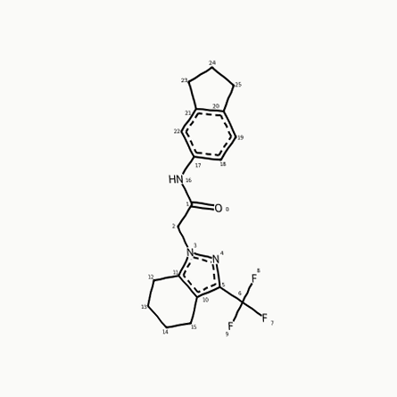 O=C(Cn1nc(C(F)(F)F)c2c1CCCC2)Nc1ccc2c(c1)CCC2